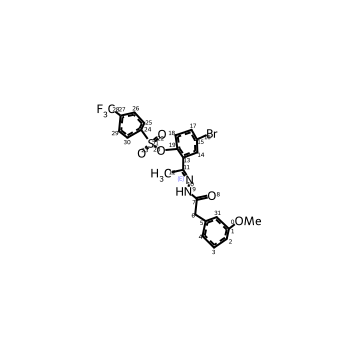 COc1cccc(CC(=O)N/N=C(\C)c2cc(Br)ccc2OS(=O)(=O)c2ccc(C(F)(F)F)cc2)c1